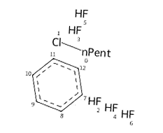 CCCCCCl.F.F.F.F.F.c1ccccc1